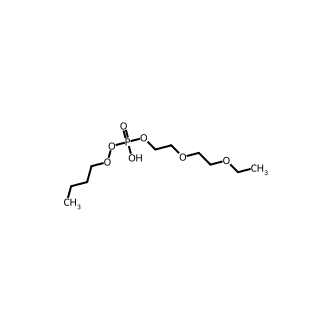 CCCCOOP(=O)(O)OCCOCCOCC